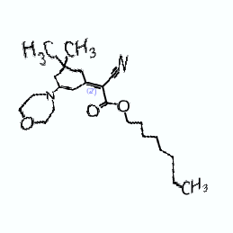 CCCCCCCCOC(=O)/C(C#N)=C1\C=C(N2CCOCC2)CC(C)(C)C1